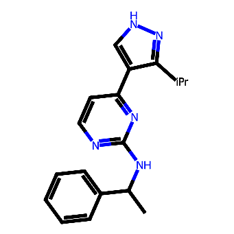 CC(C)c1n[nH]cc1-c1ccnc(NC(C)c2ccccc2)n1